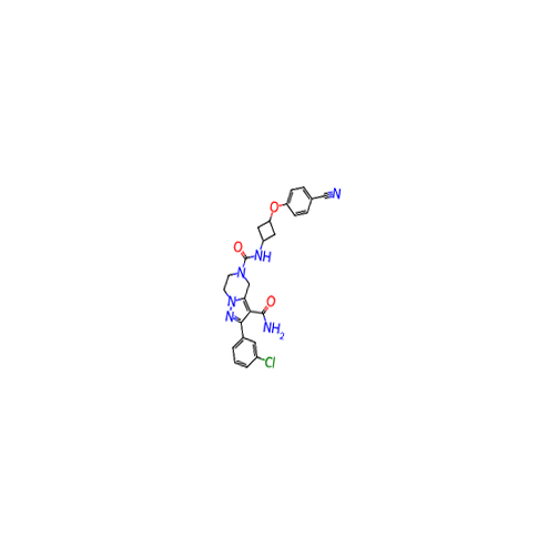 N#Cc1ccc(OC2CC(NC(=O)N3CCn4nc(-c5cccc(Cl)c5)c(C(N)=O)c4C3)C2)cc1